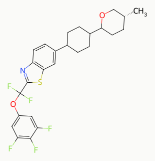 C[C@@H]1CCC(C2CCC(c3ccc4nc(C(F)(F)Oc5cc(F)c(F)c(F)c5)sc4c3)CC2)OC1